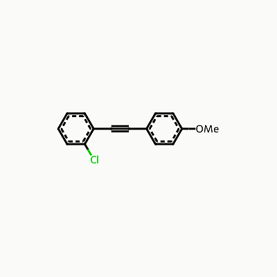 COc1ccc(C#Cc2ccccc2Cl)cc1